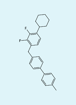 Cc1ccc(-c2ccc(Cc3ccc(C4CCCCC4)c(F)c3F)cc2)cc1